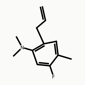 C=CCc1cc(C)c(F)cc1N(C)C